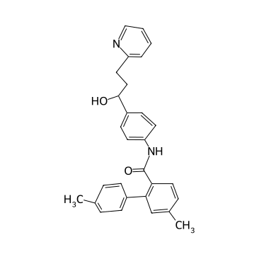 Cc1ccc(-c2cc(C)ccc2C(=O)Nc2ccc(C(O)CCc3ccccn3)cc2)cc1